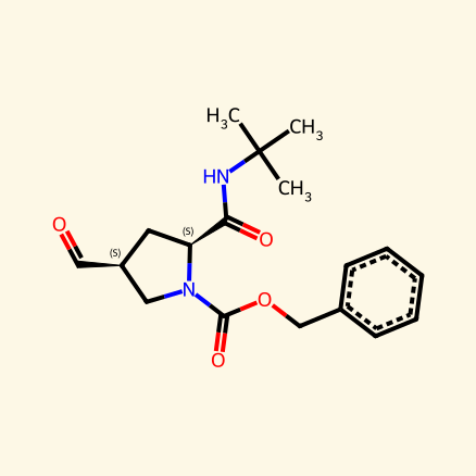 CC(C)(C)NC(=O)[C@@H]1C[C@H](C=O)CN1C(=O)OCc1ccccc1